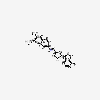 Cc1ncnc2c1CCN2C1CCC(/C=C/c2ccc3cc(Cl)c(N)nc3c2)C1